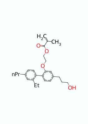 C=C(C)C(=O)OCCOc1cc(CCCO)ccc1-c1ccc(CCC)cc1CC